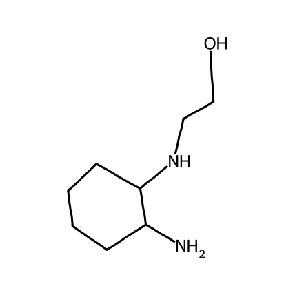 NC1CCCCC1NCCO